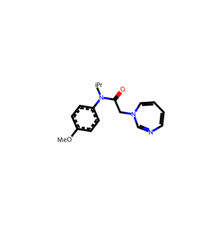 COc1ccc(N(C(=O)CN2C=CC=CN=C2)C(C)C)cc1